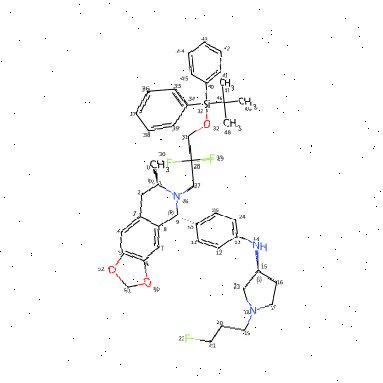 C[C@@H]1Cc2cc3c(cc2[C@@H](c2ccc(N[C@H]4CCN(CCCF)C4)cc2)N1CC(F)(F)CO[Si](c1ccccc1)(c1ccccc1)C(C)(C)C)OCO3